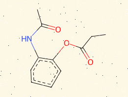 CCC(=O)Oc1ccccc1NC(C)=O